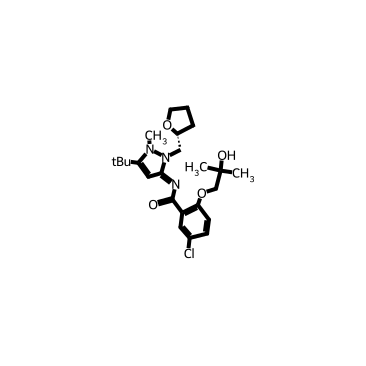 Cn1c(C(C)(C)C)cc(=NC(=O)c2cc(Cl)ccc2OCC(C)(C)O)n1C[C@H]1CCCO1